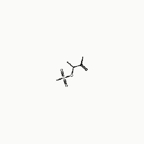 C=C(C)C(C)OS(C)(=O)=O